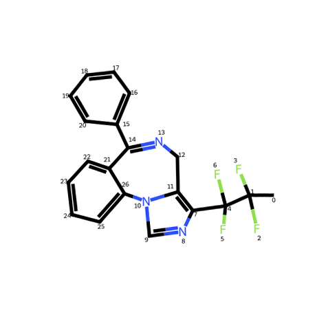 CC(F)(F)C(F)(F)c1ncn2c1CN=C(c1ccccc1)c1ccccc1-2